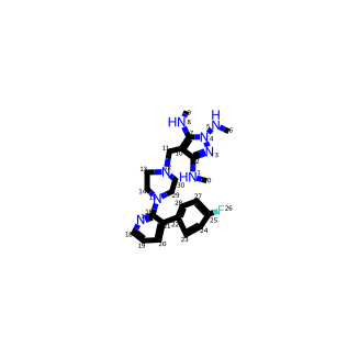 CNc1nn(NC)c(NC)c1CN1CCN(c2ncccc2-c2ccc(F)cc2)CC1